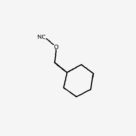 N#COCC1CCCCC1